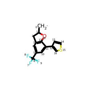 [CH2]C1Cc2cc(C(F)(F)F)cc(-c3ccsc3)c2O1